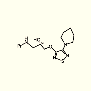 CC(C)NC[C@H](O)COc1nsnc1N1CCCCC1